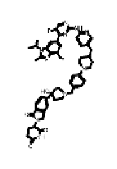 Cc1nc2c(F)cc(-c3nc(Nc4ccc(CC5CCN(c6ccc(CN7CCC(O)(c8ccc9c(c8)CN(C8CCC(=O)NC8=O)C9=O)CC7)cc6)CC5)cn4)ncc3F)cc2n1C(C)C